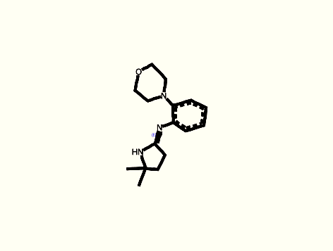 CC1(C)CC/C(=N\c2ccccc2N2CCOCC2)N1